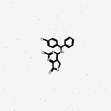 O=C1OCc2c(NC(c3ccccc3)c3ccc(Cl)cc3)nc(Cl)nc21